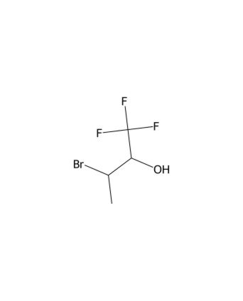 CC(Br)C(O)C(F)(F)F